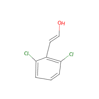 OC=Cc1c(Cl)cccc1Cl